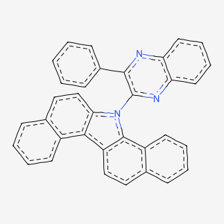 c1ccc(-c2nc3ccccc3nc2-n2c3ccc4ccccc4c3c3ccc4ccccc4c32)cc1